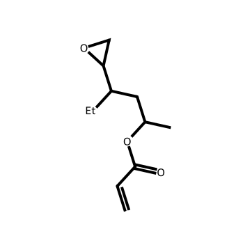 C=CC(=O)OC(C)CC(CC)C1CO1